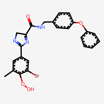 Cc1cc(C2=NCC(C(=O)NCc3ccc(Oc4ccccc4)cc3)=N2)cc(Br)c1OO